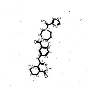 O=C(c1cscn1)N1CCCN(C(=O)c2cc(Cc3n[nH]c(=O)c4c3NCCC4)ccc2F)CC1